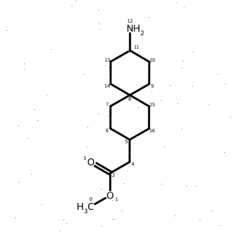 COC(=O)CC1CCC2(CCC(N)CC2)CC1